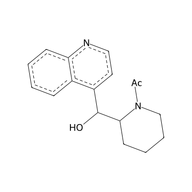 CC(=O)N1CCCCC1C(O)c1ccnc2ccccc12